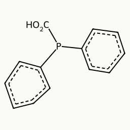 O=C(O)P(c1ccccc1)c1ccccc1